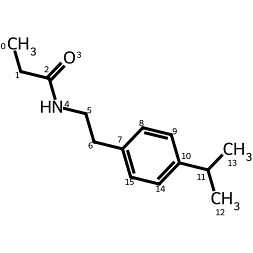 CCC(=O)NCCc1ccc(C(C)C)cc1